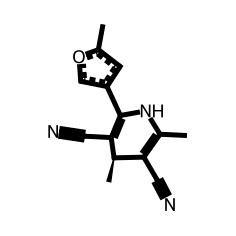 CC1=C(C#N)[C@@H](C)C(C#N)=C(c2coc(C)c2)N1